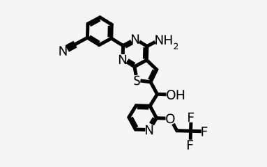 N#Cc1cccc(-c2nc(N)c3cc(C(O)c4cccnc4OCC(F)(F)F)sc3n2)c1